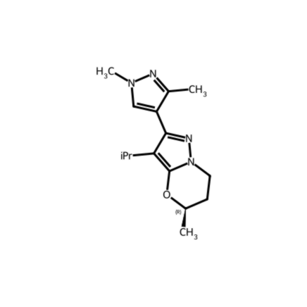 Cc1nn(C)cc1-c1nn2c(c1C(C)C)O[C@H](C)CC2